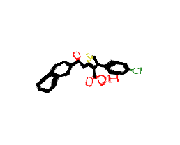 O=C(O)c1c(-c2ccc(Cl)cc2)csc1CC(=O)C1CCc2ccccc2C1